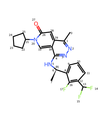 Cc1nnc(N[C@H](C)c2cccc(C(F)F)c2F)c2cn(C3CCCC3)c(=O)cc12